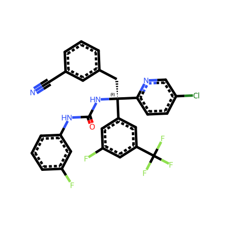 N#Cc1cccc(C[C@@](NC(=O)Nc2cccc(F)c2)(c2cc(F)cc(C(F)(F)F)c2)c2ccc(Cl)cn2)c1